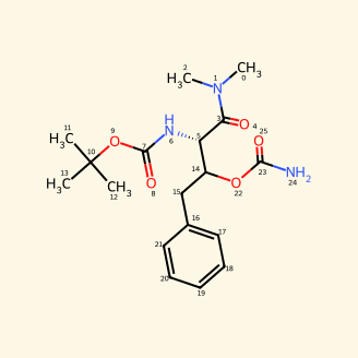 CN(C)C(=O)[C@@H](NC(=O)OC(C)(C)C)C(Cc1ccccc1)OC(N)=O